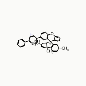 CC1C=CC2=C(C1)[C@]1(c3ccccc3Oc3ccc(C(=N)/C=C\C(=N)c4ccccc4)cc31)C1CC(C)C=CC21C